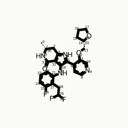 C[C@@H]1Cc2[nH]c(-c3ccncc3OC[C@@H]3CCCO3)c(Nc3cccc(F)c3CC(F)F)c2C(=O)N1